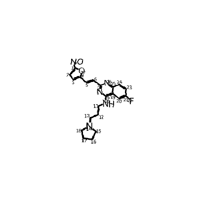 O=Nc1ccc(/C=C/c2nc(NCCCN3CCCC3)c3cc(F)ccc3n2)o1